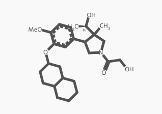 COc1ccc(C2CN(C(=O)CO)CC2(C)[C@@H](C)O)cc1OC1CCC2CCCCC2C1